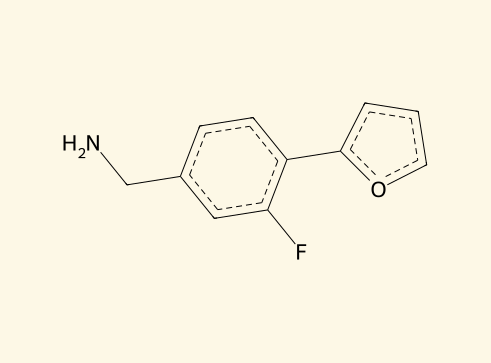 NCc1ccc(-c2ccco2)c(F)c1